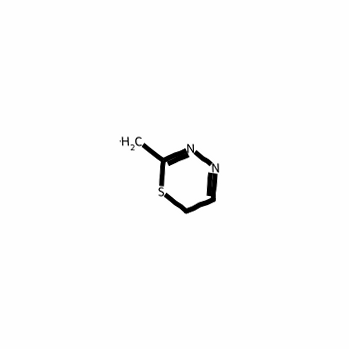 [CH2]C1=NN=CCS1